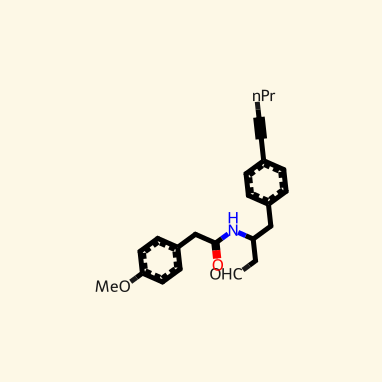 CCCC#Cc1ccc(CC(CC=O)NC(=O)Cc2ccc(OC)cc2)cc1